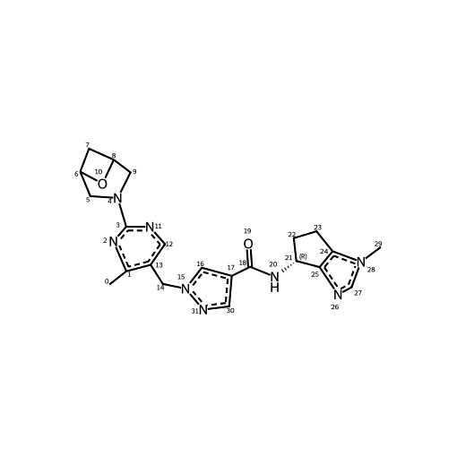 Cc1nc(N2CC3CC(C2)O3)ncc1Cn1cc(C(=O)N[C@@H]2CCc3c2ncn3C)cn1